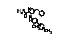 Cc1cc(Nc2cc(Cc3ccccc3)cnc2C(N)=O)ccc1N1CCN(C)CC1